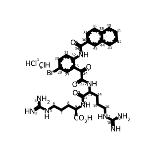 Cl.Cl.N=C(N)NCCCC(NC(=O)C(CCCNC(=N)N)NC(=O)C(=O)c1cc(Br)ccc1NC(=O)c1ccc2ccccc2c1)C(=O)O